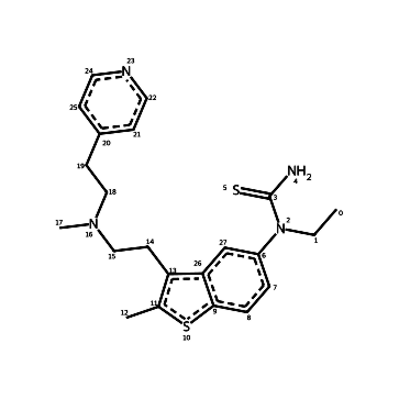 CCN(C(N)=S)c1ccc2sc(C)c(CCN(C)CCc3ccncc3)c2c1